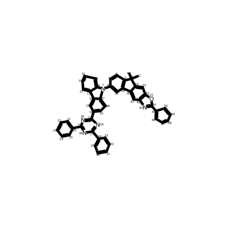 CC1(C)c2ccc(-n3c4ccccc4c4cc(-c5nc(-c6ccccc6)nc(-c6ccccc6)n5)ccc43)cc2-c2cc3nc(-c4ccccc4)oc3cc21